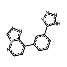 [c]1cn2nccc(-c3cccc(-c4nnn[nH]4)c3)c2n1